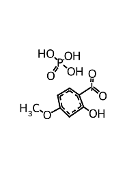 COc1ccc(I(=O)=O)c(O)c1.O=P(O)(O)O